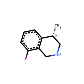 FC(F)(F)[C@@H]1CNCc2c(I)cccc21